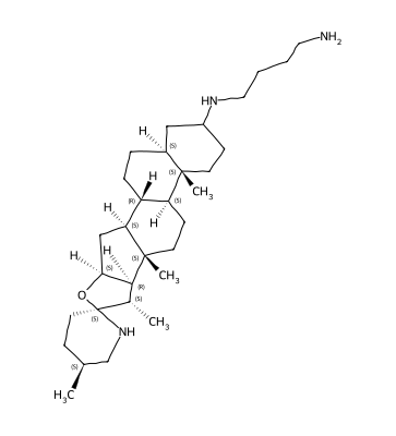 C[C@H]1CC[C@]2(NC1)O[C@H]1C[C@H]3[C@@H]4CC[C@H]5CC(NCCCCN)CC[C@]5(C)[C@H]4CC[C@]3(C)[C@H]1[C@@H]2C